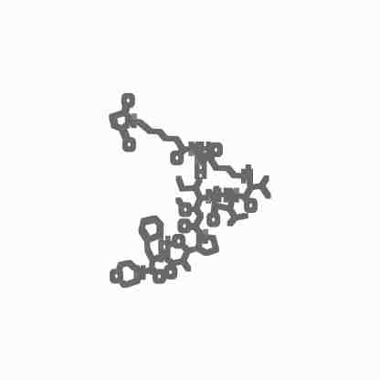 CCC(C)C(C(CC(=O)N1CCC[C@H]1C(OC)C(C)C(=O)NC(Cc1ccccc1)C(=O)N1CCOCC1)OC)N(C)C(=O)C(NC(=O)C(C(C)C)N(C)CCCC(=O)NNC(=O)CCCCCN1C(=O)C=CC1=O)C(C)C